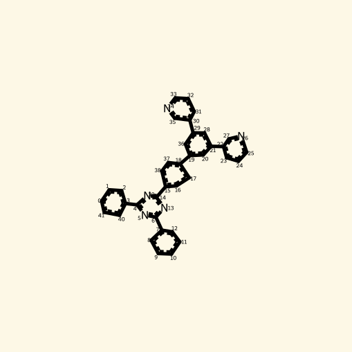 c1ccc(-c2nc(-c3ccccc3)nc(-c3ccc(-c4cc(-c5cccnc5)cc(-c5cccnc5)c4)cc3)n2)cc1